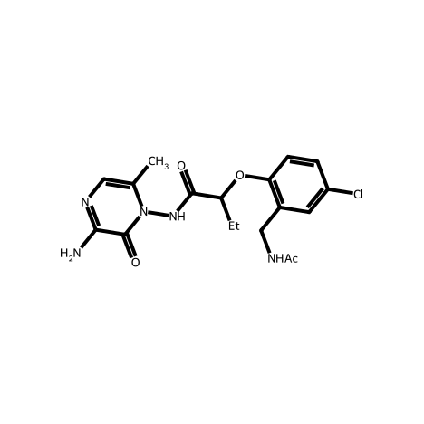 CCC(Oc1ccc(Cl)cc1CNC(C)=O)C(=O)Nn1c(C)cnc(N)c1=O